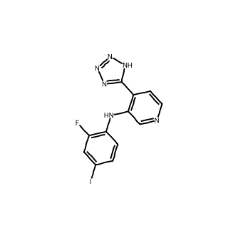 Fc1cc(I)ccc1Nc1cnccc1-c1nnn[nH]1